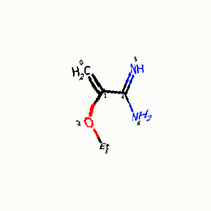 C=C(OCC)C(=N)N